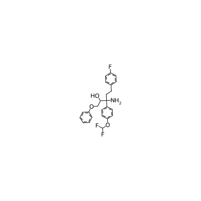 NC(CCc1ccc(F)cc1)(c1ccc(OC(F)F)cc1)C(O)COc1ccccc1